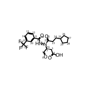 O=C[C@H](CC(=O)O)N(NC(=O)c1cccc(C(F)(F)F)c1)C(=O)CCC1CCCC1